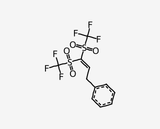 O=S(=O)(C(=CCc1ccccc1)S(=O)(=O)C(F)(F)F)C(F)(F)F